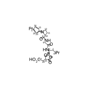 CC(C)CC(NC(=O)CNC(=O)C1CCN1c1ccc(F)cc1)B1OC(=O)C(CC(=O)O)O1